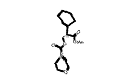 COC(=O)[C@H](COC(=O)N1CCOCC1)C1CCCCC1